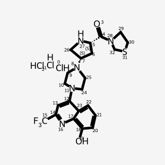 Cl.Cl.Cl.O=C([C@@H]1C[C@H](N2CCN(c3cc(C(F)(F)F)nc4c(O)cccc34)CC2)CN1)N1CCSC1